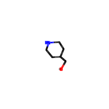 [O]CC1CCNCC1